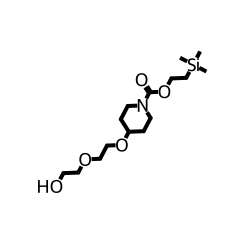 C[Si](C)(C)CCOC(=O)N1CCC(OCCOCCO)CC1